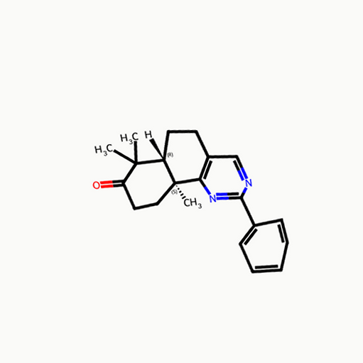 CC1(C)C(=O)CC[C@]2(C)c3nc(-c4ccccc4)ncc3CC[C@@H]12